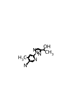 Cc1cc(-n2ncc(C(C)O)n2)ncc1C#N